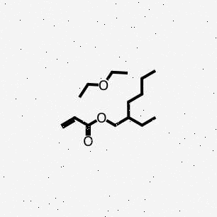 C=CC(=O)OCC(CC)CCCC.CCOCC